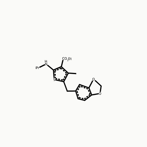 CCOC(=O)c1c(NC(C)C)sc(Cc2ccc3c(c2)OCO3)c1C